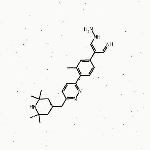 Cc1cc(/C(C=N)=C/NN)ccc1-c1ccc(CC2CC(C)(C)NC(C)(C)C2)nn1